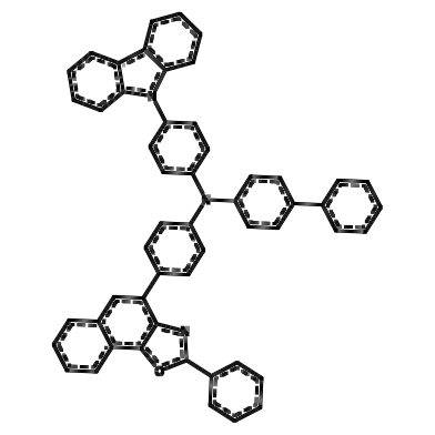 c1ccc(-c2ccc(N(c3ccc(-c4cc5ccccc5c5oc(-c6ccccc6)nc45)cc3)c3ccc(-n4c5ccccc5c5ccccc54)cc3)cc2)cc1